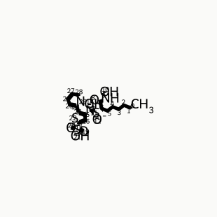 CCCCCCC(C(=O)NO)[S+]([O-])N(O)c1cc(S(=O)(=O)O)sc1-c1ccccn1